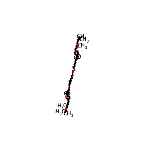 CC(C)=CCC/C(C)=C/CCC1=CCC(C(=O)OCCCCCCSCCCCCCCCSCCCCCCOC(=O)C2CC=C(CC/C=C(\C)CCC=C(C)C)CC2)CC1